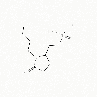 [O]CCCN1C(=O)CCC1COP(=O)(O)O